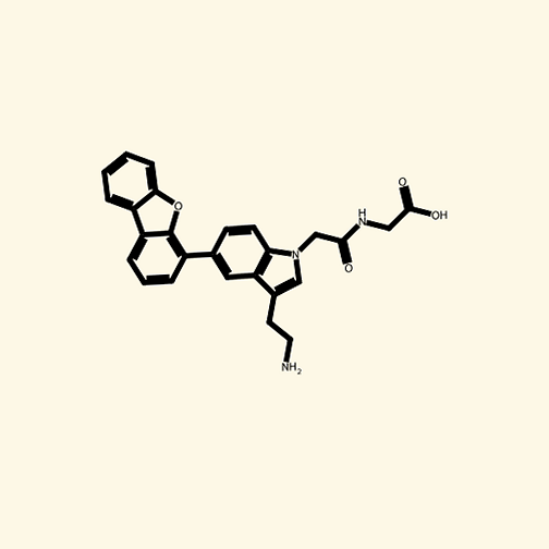 NCCc1cn(CC(=O)NCC(=O)O)c2ccc(-c3cccc4c3oc3ccccc34)cc12